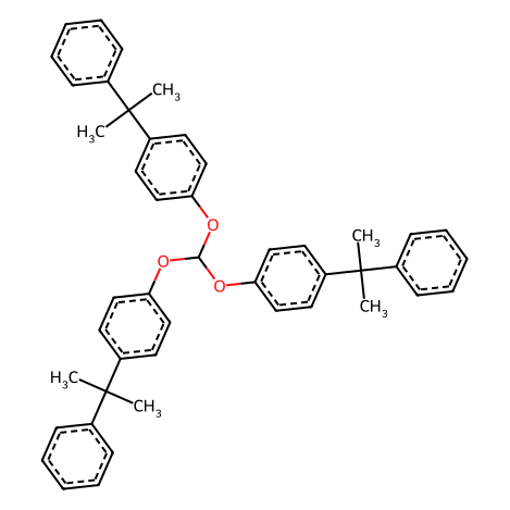 CC(C)(c1ccccc1)c1ccc(OC(Oc2ccc(C(C)(C)c3ccccc3)cc2)Oc2ccc(C(C)(C)c3ccccc3)cc2)cc1